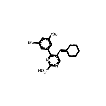 CC(C)(C)c1cc(-c2nc(C(=O)O)ncc2C=C2CCCCC2)cc(C(C)(C)C)c1